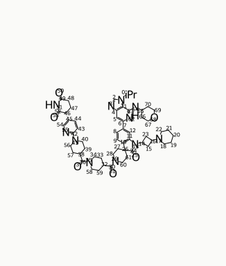 CC(C)n1cnc2cc(-c3ccc4c(c3)N(C3CC(N5CCCCC5)C3)C(=O)C43CCN(C(=O)C4CCN(C(=O)C5CCN(c6ccc([C@H]7CCC(=O)NC7=O)cn6)CC5)CC4)CC3)nc(NC3CCOCC3)c21